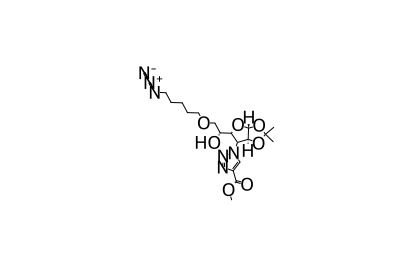 COC(=O)c1cn(C2[C@H]([C@H](O)COCCCCCN=[N+]=[N-])O[C@@H]3OC(C)(C)O[C@@H]23)nn1